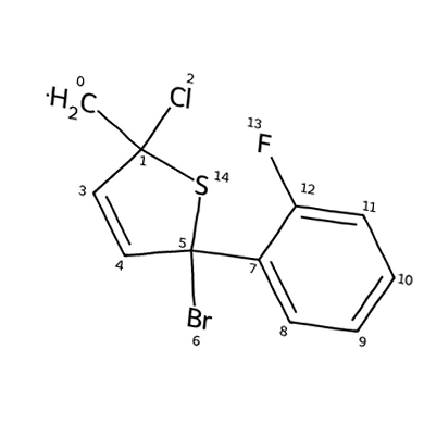 [CH2]C1(Cl)C=CC(Br)(c2ccccc2F)S1